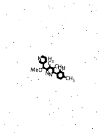 COC(c1cccnc1)c1nnc(-c2ccc(C)cc2O)c(C)c1C